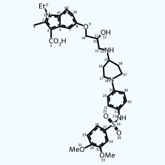 CCn1c(C)c(C(=O)O)c2cc(OC[C@@H](O)CNC3CCN(c4ccc(NS(=O)(=O)c5ccc(OC)c(OC)c5)cc4)CC3)ccc21